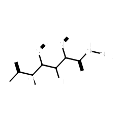 CC(=O)[C@H](O)C(N=O)C(O)C(N=O)C(=O)NN